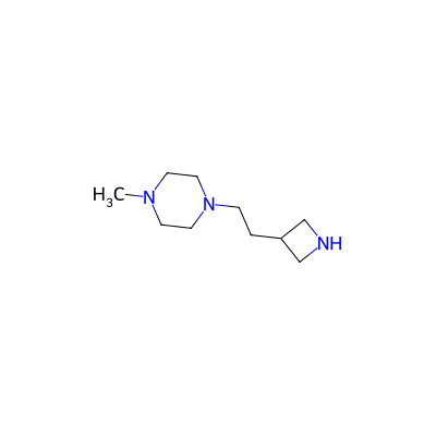 CN1CCN(CCC2CNC2)CC1